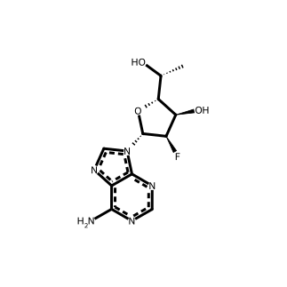 C[C@@H](O)[C@H]1O[C@@H](n2cnc3c(N)ncnc32)[C@H](F)[C@@H]1O